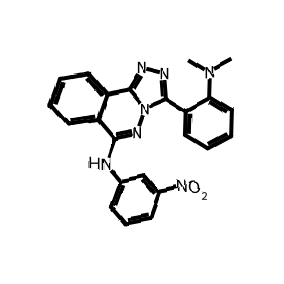 CN(C)c1ccccc1-c1nnc2c3ccccc3c(Nc3cccc([N+](=O)[O-])c3)nn12